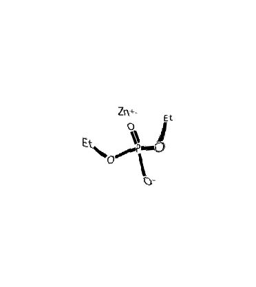 CCOP(=O)([O-])OCC.[Zn+]